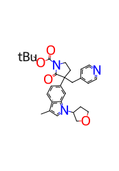 Cc1cn(C2CCOC2)c2cc(C3(Cc4ccncc4)CCN(C(=O)OC(C)(C)C)C3=O)ccc12